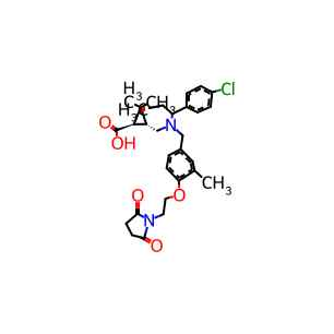 CCC(c1ccc(Cl)cc1)N(Cc1ccc(OCCN2C(=O)CCC2=O)c(C)c1)C[C@@H]1[C@@H](C(=O)O)C1(C)C